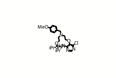 COc1ccc(CN(CCOc2c(N)ncnc2Cl)CCO[Si](C(C)C)(C(C)C)C(C)C)cc1